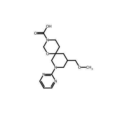 COCC1CN(c2ncccn2)CC2(CCN(C(=O)O)CO2)C1